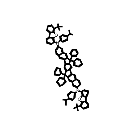 CC(C)c1ccc(N(c2ccc3cc4c(cc3c2)C(c2ccccc2)(c2ccccc2)c2cc3c(cc2-4)C(c2ccccc2)(c2ccccc2)c2cc4cc(N(c5ccc(C(C)C)cc5)c5cccc6c5oc5c(C(C)(C)C)cccc56)ccc4cc2-3)c2cccc3c2oc2c(C(C)(C)C)cccc23)cc1